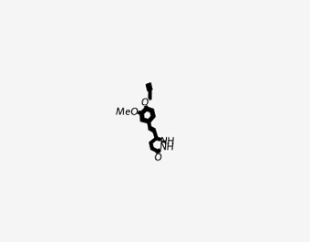 C#CCOc1ccc(/C=C/C2CCC(=O)NN2)cc1OC